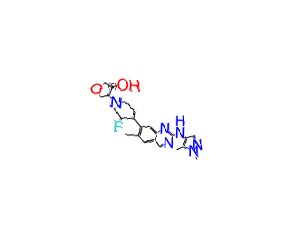 Cc1cc2cnc(Nc3cnn(C)c3C)nc2cc1C1CCN(C2COC[C@H]2O)CC1F